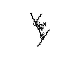 CCCCCCCC(CCCCCCC)OC(=O)CCCC(CCCC(=O)OC(CCCCCCC)CCCCCCC)N(C)C(=O)SCCCN(C)C